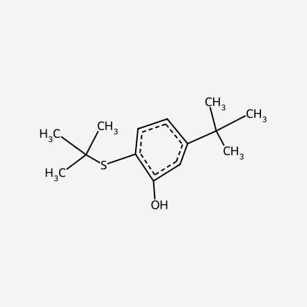 CC(C)(C)Sc1ccc(C(C)(C)C)cc1O